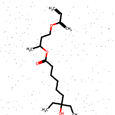 C=CC(=C)OCCC(C)OC(=O)CCCCCC(O)(CC)CC